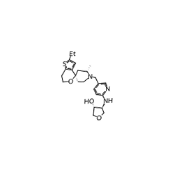 CCc1cc2c(s1)CCO[C@@]21CCN(Cc2ccc(N[C@H]3COC[C@@H]3O)nc2)[C@@H](C)C1